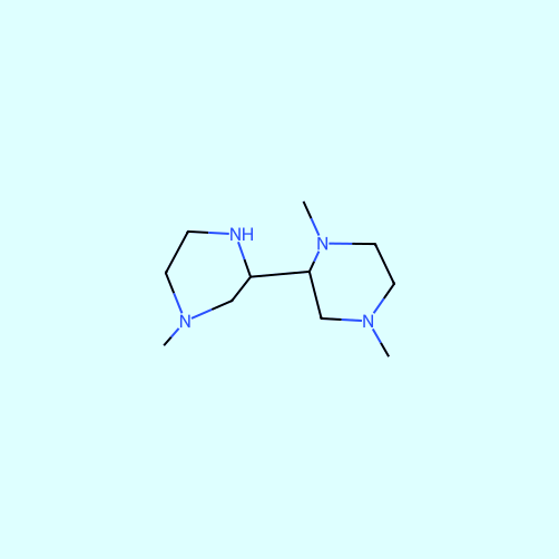 CN1CCNC(C2CN(C)CCN2C)C1